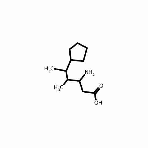 CC(C(N)CC(=O)O)C(C)C1CCCC1